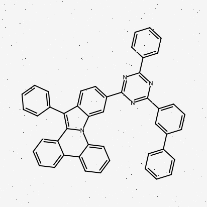 c1ccc(-c2cccc(-c3nc(-c4ccccc4)nc(-c4ccc5c(-c6ccccc6)c6c7ccccc7c7ccccc7n6c5c4)n3)c2)cc1